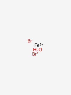 O.[Br-].[Br-].[Fe+2]